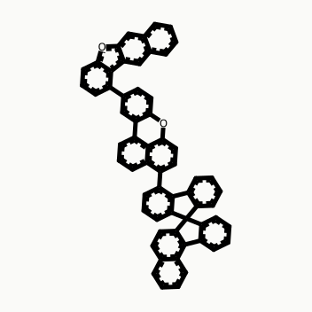 c1ccc2c(c1)-c1c(-c3ccc4c5c(cccc35)-c3cc(-c5cccc6oc7cc8ccccc8cc7c56)ccc3O4)cccc1C21c2ccccc2-c2c1ccc1ccccc21